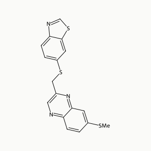 CSc1ccc2ncc(CSc3ccc4ncsc4c3)nc2c1